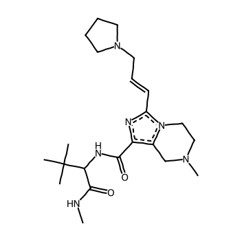 CNC(=O)C(NC(=O)c1nc(C=CCN2CCCC2)n2c1CN(C)CC2)C(C)(C)C